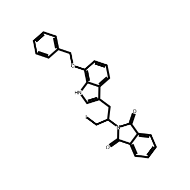 O=C1c2ccccc2C(=O)N1C(CI)Cc1c[nH]c2c(OCc3ccccc3)cccc12